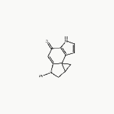 CC(C)N1CC2CC23C1=CC(=O)c1[nH]ccc13